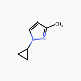 Cc1[c]cn(C2CC2)n1